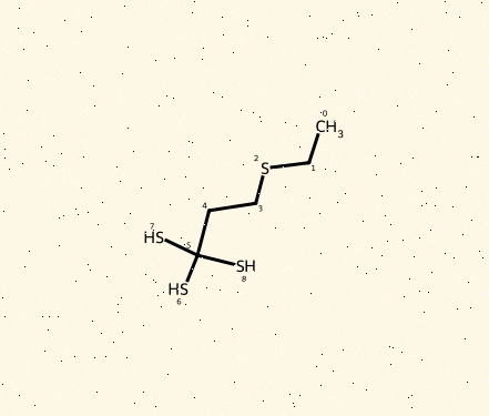 CCSCCC(S)(S)S